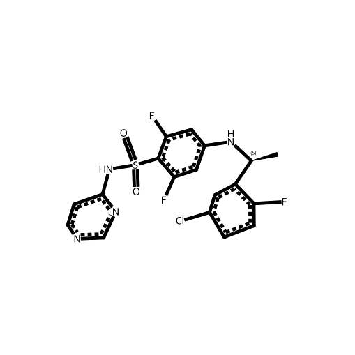 C[C@H](Nc1cc(F)c(S(=O)(=O)Nc2ccncn2)c(F)c1)c1cc(Cl)ccc1F